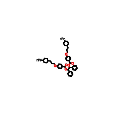 CCCC1CCC(CCCOc2ccc(C(=O)O[C@H](c3ccccc3)[C@H](OC(=O)c3ccc(OCCCC4CCC(CCC)CC4)cc3)c3ccccc3)cc2)CC1